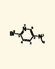 C[N]c1ccc(Br)nc1